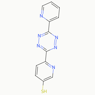 Sc1ccc(-c2nnc(-c3ccccn3)nn2)nc1